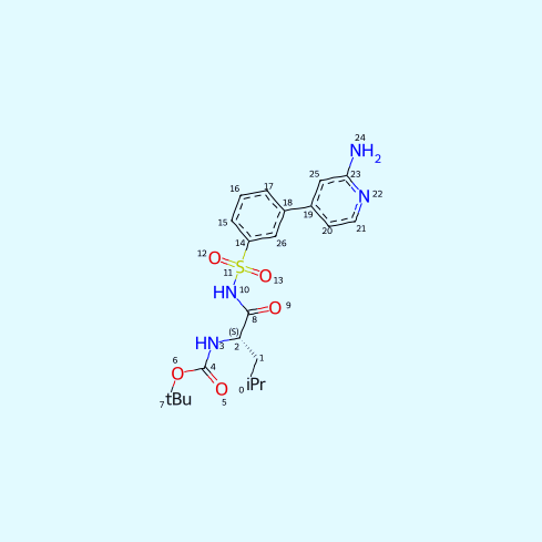 CC(C)C[C@H](NC(=O)OC(C)(C)C)C(=O)NS(=O)(=O)c1cccc(-c2ccnc(N)c2)c1